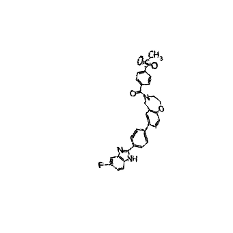 CS(=O)(=O)c1ccc(C(=O)N2CCOc3ccc(-c4ccc(-c5nc6cc(F)ccc6[nH]5)cc4)cc3C2)cc1